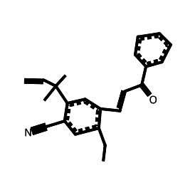 C=CC(C)(C)c1cc(/C=C/C(=O)c2ccccc2)c(CC)cc1C#N